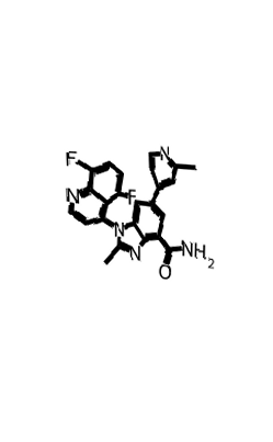 Cc1cc(-c2cc(C(N)=O)c3nc(C)n(-c4ccnc5c(F)ccc(F)c45)c3c2)ccn1